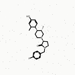 CC1C=C(O)C=CC1[C@@H]1CCN([C@H]2CCN(Cc3ccc(F)cc3)C2=O)C[C@H]1F